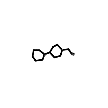 CC(C)CN1CCC(N2CCCCC2)CC1